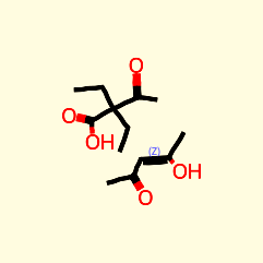 CC(=O)/C=C(/C)O.CCC(CC)(C(C)=O)C(=O)O